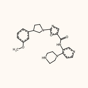 COc1cccc(C2CCN(c3ncc(C(=O)Nc4cnccc4N4CCNCC4)o3)C2)c1